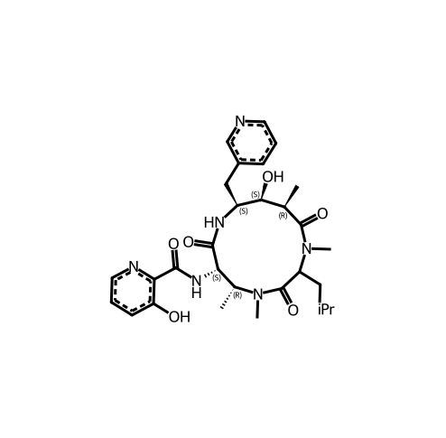 CC(C)CC1C(=O)N(C)[C@H](C)[C@H](NC(=O)c2ncccc2O)C(=O)N[C@@H](Cc2cccnc2)[C@@H](O)[C@@H](C)C(=O)N1C